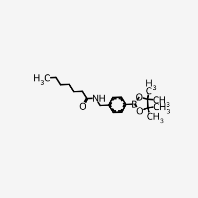 CCCCCCC(=O)NCc1ccc(B2OC(C)(C)C(C)(C)O2)cc1